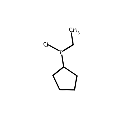 CCP(Cl)C1CCCC1